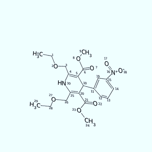 CCOCC1=C(C(=O)OC)C(c2cccc([N+](=O)[O-])c2)C(C(=O)OC)=C(COCC)N1